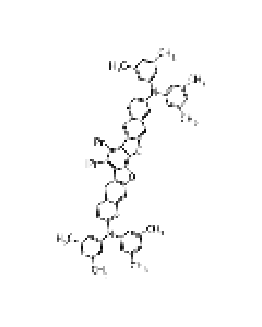 Cc1cc(C)cc(N(c2cc(C)cc(C)c2)c2ccc3cc4c(cc3c2)oc2c3oc5cc6cc(N(c7cc(C)cc(C)c7)c7cc(C)cc(C)c7)ccc6cc5c3c(C(C)C)c(C(C)C)c42)c1